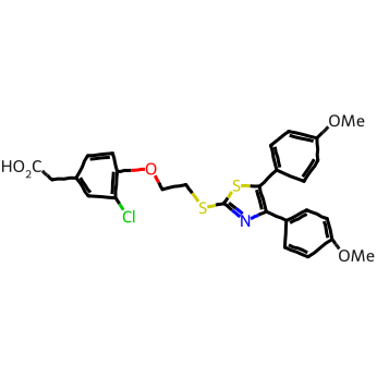 COc1ccc(-c2nc(SCCOc3ccc(CC(=O)O)cc3Cl)sc2-c2ccc(OC)cc2)cc1